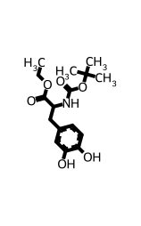 CCOC(=O)C(Cc1ccc(O)c(O)c1)NC(=O)OC(C)(C)C